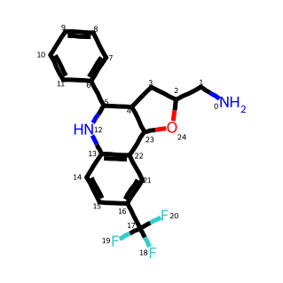 NCC1CC2C(c3ccccc3)Nc3ccc(C(F)(F)F)cc3C2O1